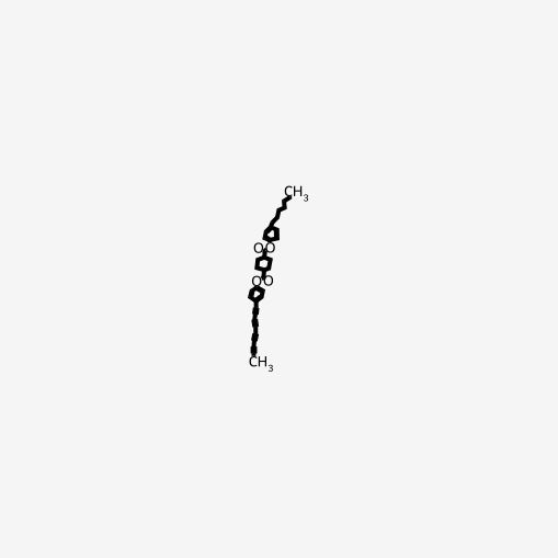 CC#CC#CC#CC#Cc1ccc(OC(=O)C2CCC(C(=O)Oc3ccc(CCCCCCC)cc3)CC2)cc1